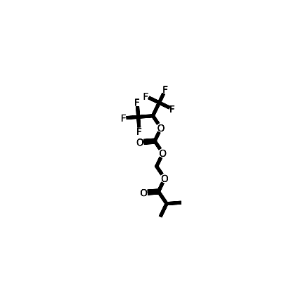 CC(C)C(=O)OCOC(=O)OC(C(F)(F)F)C(F)(F)F